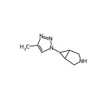 Cc1cn(C2C3CNCC32)nn1